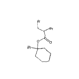 CC(C)CC(C(=O)OC1(C(C)C)CCCCC1)C(C)C